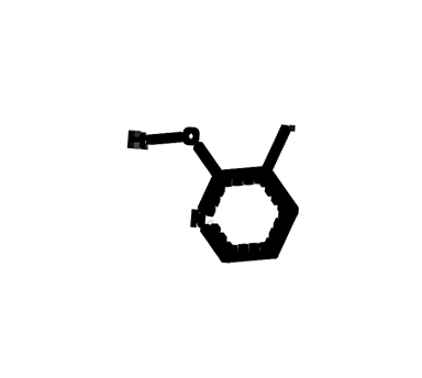 [CH2]c1cccnc1OCC